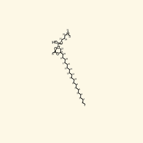 CCCCCCCCCCCCCCCCCCCCCC(COP(O)OCCCN(C)C)OC(C)=O